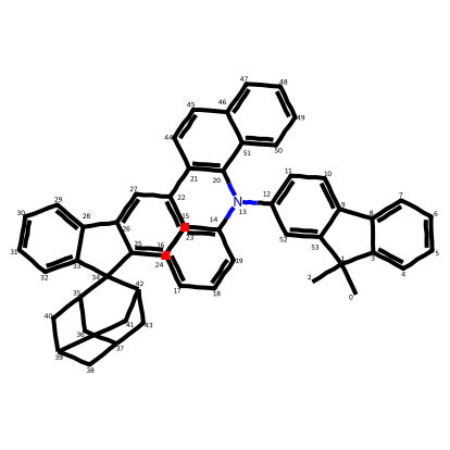 CC1(C)c2ccccc2-c2ccc(N(c3ccccc3)c3c(-c4ccc5c(c4)-c4ccccc4C54C5CC6CC(C5)CC4C6)ccc4ccccc34)cc21